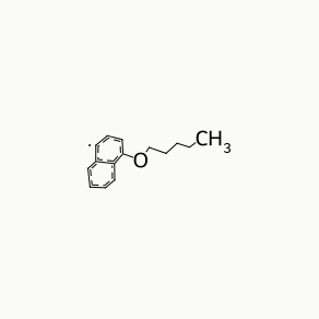 CCCCCOc1cc[c]c2ccccc12